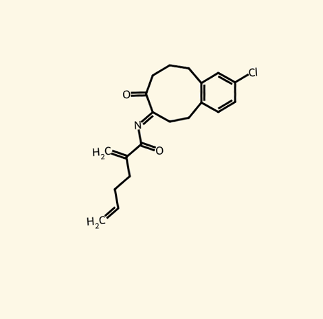 C=CCCC(=C)C(=O)/N=C1\CCc2ccc(Cl)cc2CCCC1=O